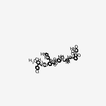 CC1(C)CCC(CN2CCN(c3ccc(C(=O)NS(=O)(=O)c4ccc(NCc5cn(CCNc6cccc7c6C(=O)N(C6CCC(=O)NC6=O)C7=O)nn5)c([N+](=O)[O-])c4)c(Oc4cnc5[nH]ccc5c4)c3)CC2)=C(c2ccc(Cl)cc2)C1